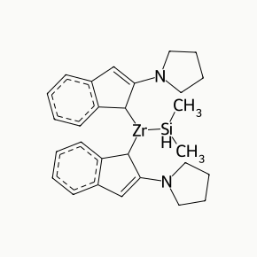 C[SiH](C)[Zr]([CH]1C(N2CCCC2)=Cc2ccccc21)[CH]1C(N2CCCC2)=Cc2ccccc21